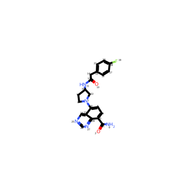 NC(=O)c1ccc(N2CCC(NC(=O)Cc3ccc(F)cc3)C2)c2cncnc12